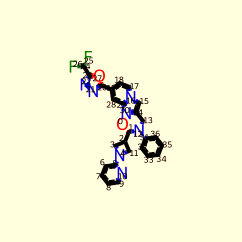 O=C(C1CN(c2ccccn2)C1)N(Cc1cn2ccc(-c3nnc(C(F)F)o3)cc2n1)c1ccccc1